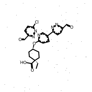 CC[C@]1(C(=O)O)CC[C@@H](Oc2ccc(-c3ccc(C=O)nn3)cn2)CC1.O=Cc1ccc(Cl)nn1